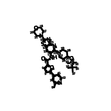 Cc1cc(-c2ccc(C(=O)Nc3cc4sc(N5CCOCC5)nc4nc3N3CCC(O[Si](C)(C)C(C)(C)C)CC3)o2)ccn1